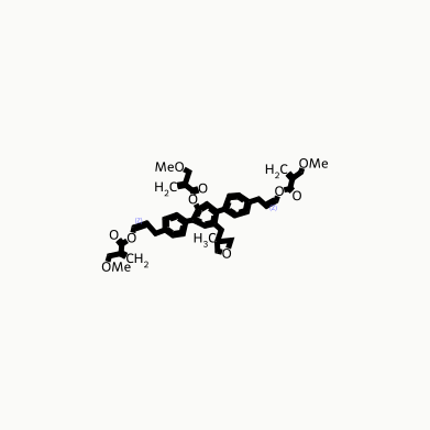 C=C(COC)C(=O)O/C=C\Cc1ccc(-c2cc(OC(=O)C(=C)COC)c(-c3ccc(C/C=C\OC(=O)C(=C)COC)cc3)cc2CC2(C)COC2)cc1